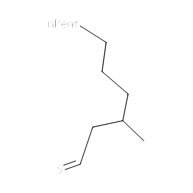 CCCCCCCCC(C)C[C]=S